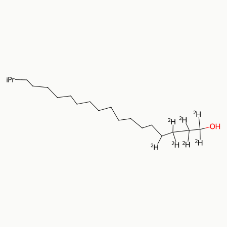 [2H]C(CCCCCCCCCCCCCC(C)C)C([2H])([2H])C([2H])([2H])C([2H])([2H])O